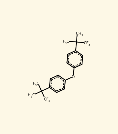 CC(c1ccc(Oc2ccc(C(C)(C(F)(F)F)C(F)(F)F)cc2)cc1)(C(F)(F)F)C(F)(F)F